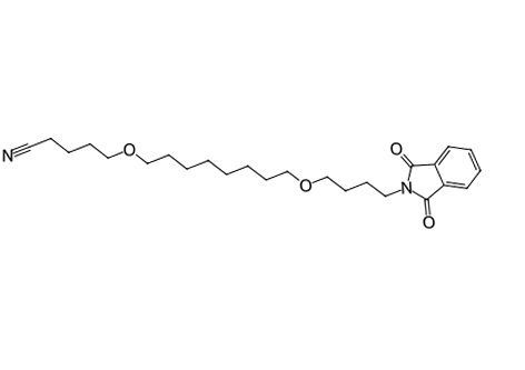 N#CCCCCOCCCCCCCCOCCCCN1C(=O)c2ccccc2C1=O